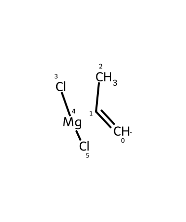 [CH]=CC.[Cl][Mg][Cl]